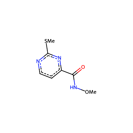 CONC(=O)c1ccnc(SC)n1